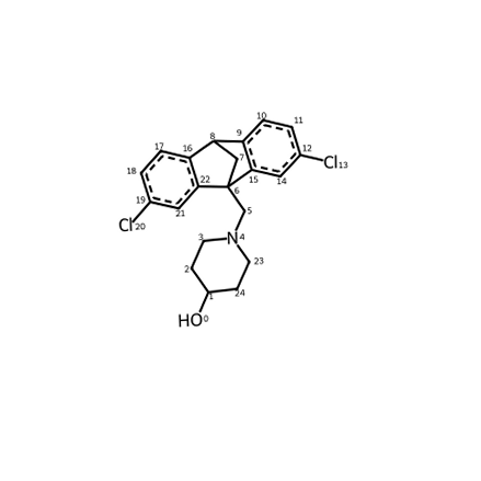 OC1CCN(CC23CC(c4ccc(Cl)cc42)c2ccc(Cl)cc23)CC1